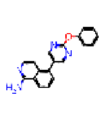 Nc1nccc2c(-c3cnc(Oc4ccccc4)nc3)cccc12